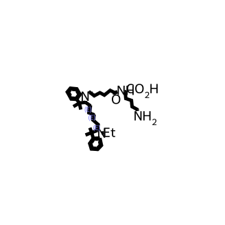 CCN1/C(=C/C=C/C=C/C2=[N+](CCCCCC(=O)NC(CCCCN)C(=O)O)c3ccccc3C2(C)C)C(C)(C)c2ccccc21